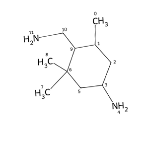 CC1CC(N)CC(C)(C)C1CN